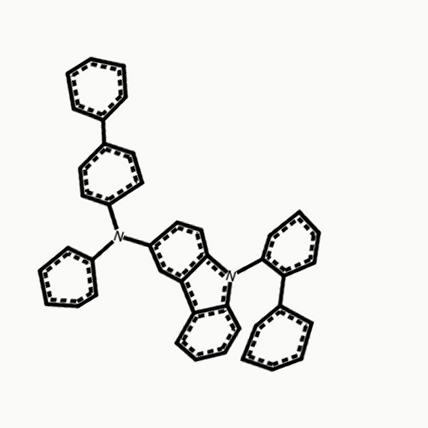 c1ccc(-c2ccc(N(c3ccccc3)c3ccc4c(c3)c3ccccc3n4-c3ccccc3-c3ccccc3)cc2)cc1